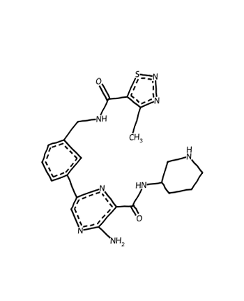 Cc1nnsc1C(=O)NCc1cccc(-c2cnc(N)c(C(=O)NC3CCCNC3)n2)c1